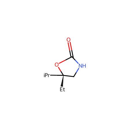 CC[C@]1(C(C)C)CNC(=O)O1